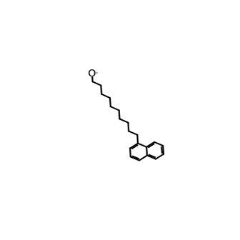 [O]CCCCCCCCCCc1cccc2ccccc12